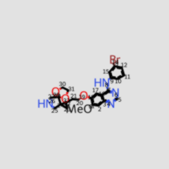 COc1cc2ncnc(Nc3cccc(Br)c3)c2cc1OCCC1CC12CNCC21OCCO1